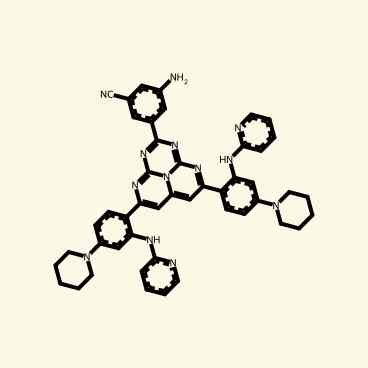 N#Cc1cc(N)cc(C2=NC3=NC(c4ccc(N5CCCCC5)cc4Nc4ccccn4)=CC4=CC(c5ccc(N6CCCCC6)cc5Nc5ccccn5)=NC(=N2)N43)c1